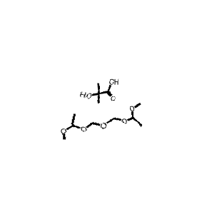 CC(C)(O)C(=O)O.COC(C)OCOCOC(C)OC